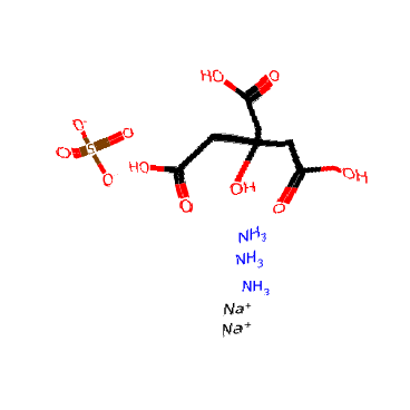 N.N.N.O=C(O)CC(O)(CC(=O)O)C(=O)O.O=S(=O)([O-])[O-].[Na+].[Na+]